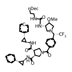 CCCCCCCCCCCCNC(=O)N[C@H]1CN([C@@H](c2ccc(C(=O)N3C[C@@H](C(=O)N[C@H]4C[C@@H]4c4ccccc4)[C@H](C(=O)N[C@H]4C[C@@H]4c4ccccc4)C3)cc2)C(F)(F)F)C[C@@H]1OC